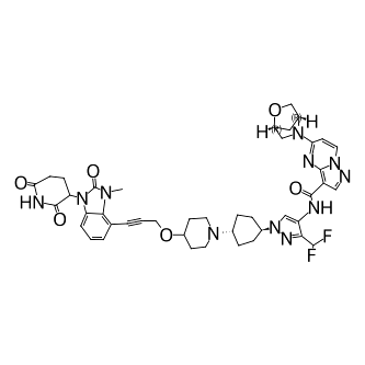 Cn1c(=O)n(C2CCC(=O)NC2=O)c2cccc(C#CCOC3CCN([C@H]4CC[C@H](n5cc(NC(=O)c6cnn7ccc(N8C[C@H]9C[C@@H]8CO9)nc67)c(C(F)F)n5)CC4)CC3)c21